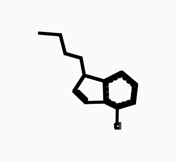 CCCCC1C=Cc2c(Cl)cccc21